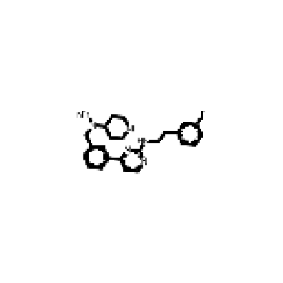 CCCN(Cc1cccc(-c2ccnc(NCCc3cccc(F)c3)n2)c1)C1CCNCC1